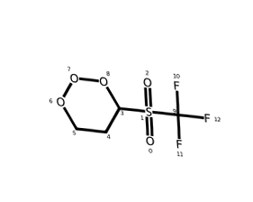 O=S(=O)(C1CCOOO1)C(F)(F)F